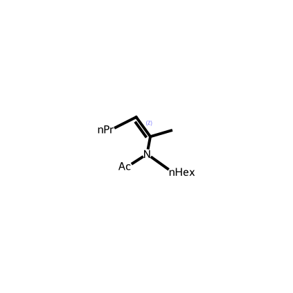 CCC/C=C(/C)N(CCCCCC)C(C)=O